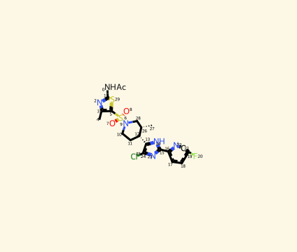 CC(=O)Nc1nc(C)c(S(=O)(=O)N2CC[C@@H](c3[nH]c(-c4ccc(F)cn4)nc3Cl)[C@@H](C)C2)s1